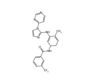 CC1=CCC(NC(=O)c2cccc(C(F)(F)F)c2)C=C1Nc1nccn1-c1ccncn1